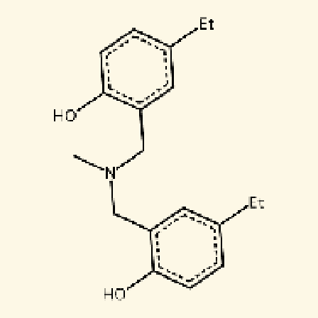 CCc1ccc(O)c(CN(C)Cc2cc(CC)ccc2O)c1